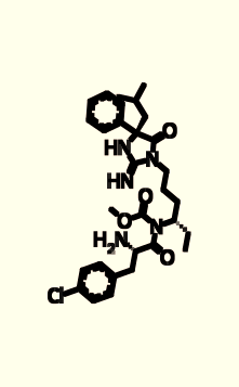 CC[C@@H](CCCN1C(=N)N[C@](CC(C)C)(c2ccccc2)C1=O)N(C(=O)OC)C(=O)[C@@H](N)Cc1ccc(Cl)cc1